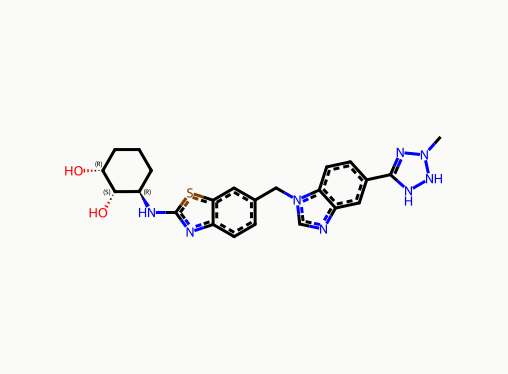 CN1N=C(c2ccc3c(c2)ncn3Cc2ccc3nc(N[C@@H]4CCC[C@@H](O)[C@H]4O)sc3c2)NN1